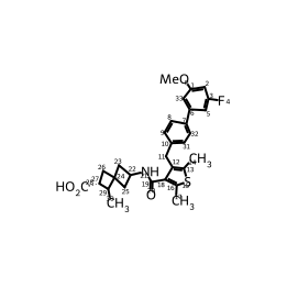 COc1cc(F)cc(-c2ccc(Cc3c(C)sc(C)c3C(=O)NC3CC4(C3)C[C@@H](C(=O)O)C4C)cc2)c1